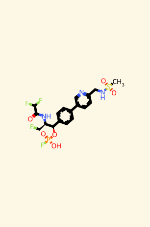 CS(=O)(=O)NCc1ccc(-c2ccc([C@@H](OP(=O)(O)F)[C@@H](CF)NC(=O)C(F)F)cc2)cn1